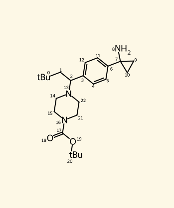 CC(C)(C)CC(c1ccc(C2(N)CC2)cc1)N1CCN(C(=O)OC(C)(C)C)CC1